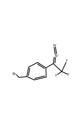 [N-]=[N+]=C(c1ccc(CBr)cc1)C(F)(F)F